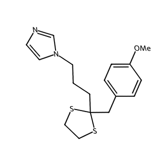 COc1ccc(CC2(CCCn3ccnc3)SCCS2)cc1